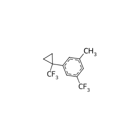 Cc1cc(C(F)(F)F)cc(C2(C(F)(F)F)CC2)c1